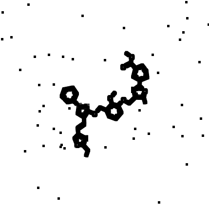 CCc1nc(C=Cc2cn(-c3ccccc3)nc2OCc2cccc(OCc3nc(-c4cccc(C(=O)OC)c4)oc3C)c2OC)co1